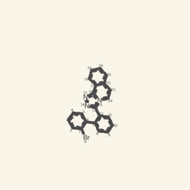 Brc1ccccc1-c1ccccc1-c1nnc2c3ccccc3ccn12